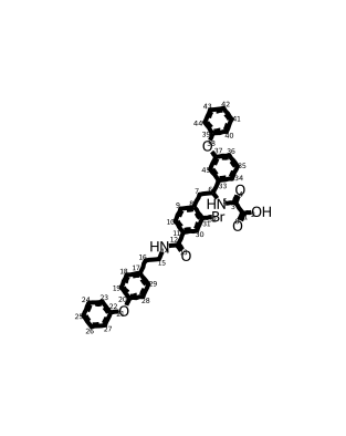 O=C(O)C(=O)NC(Cc1ccc(C(=O)NCCc2ccc(Oc3ccccc3)cc2)cc1Br)c1cccc(Oc2ccccc2)c1